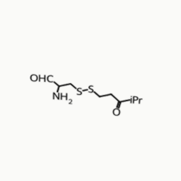 CC(C)C(=O)CCSSCC(N)C=O